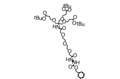 CC(C)(C)OC(=O)CCOCC(COCCC(=O)OC(C)(C)C)(COCCC(=O)OC(C)(C)C)NC(=O)COCCOCCOCC(=O)NNC(=O)OCc1ccccc1